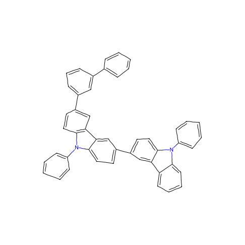 c1ccc(-c2cccc(-c3ccc4c(c3)c3cc(-c5ccc6c(c5)c5ccccc5n6-c5ccccc5)ccc3n4-c3ccccc3)c2)cc1